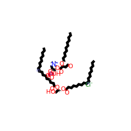 CCCCCCCC/C=C\CCCCCCCC(=O)OC[C@H](CO)OC(=O)CCC(CCCC/C=C\CCCCCCCC)OP(=O)(O)OC(COC(=O)C(CC=O)OCCCCCCCCCCCC)C[N+](C)(C)C.[Cl-]